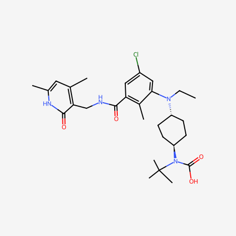 CCN(c1cc(Cl)cc(C(=O)NCc2c(C)cc(C)[nH]c2=O)c1C)[C@H]1CC[C@H](N(C(=O)O)C(C)(C)C)CC1